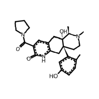 Cc1ccc(O)cc1[C@]12CCN(C)[C@H](C)[C@]1(O)Cc1cc(C(=O)N3CCCC3)c(=O)[nH]c1C2